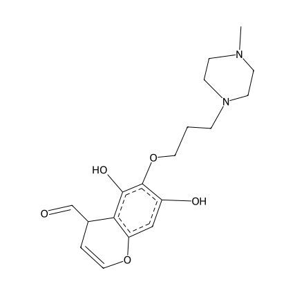 CN1CCN(CCCOc2c(O)cc3c(c2O)C(C=O)C=CO3)CC1